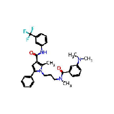 Cc1c(C(=O)Nc2cccc(C(F)(F)F)c2)cc(-c2ccccc2)n1CCCN(C)C(=O)c1cccc(N(C)C)c1